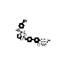 COc1cc(-c2ccc(NC(=O)[C@H]3CCCN3C(=O)Nc3ccc(C(C)C)cc3)cc2)ccc1C(=O)O